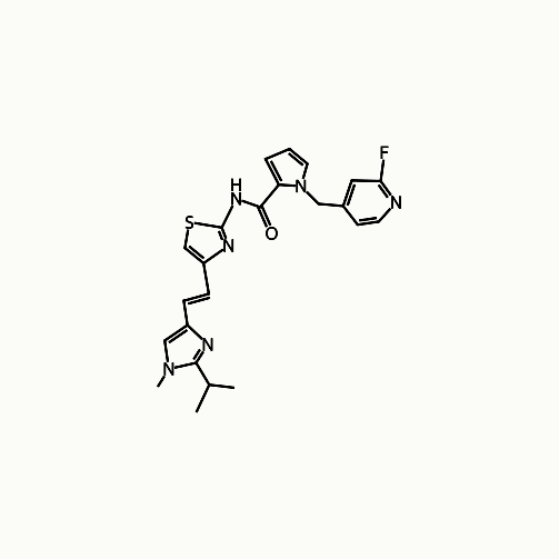 CC(C)c1nc(C=Cc2csc(NC(=O)c3cccn3Cc3ccnc(F)c3)n2)cn1C